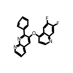 Fc1cc2nccc(Oc3cc4cccnc4nc3-c3ccccc3)c2cc1F